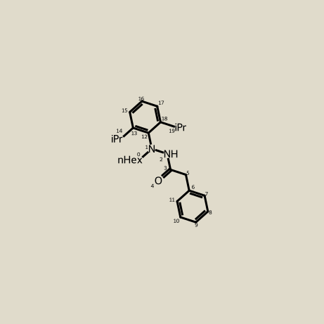 CCCCCCN(NC(=O)Cc1ccccc1)c1c(C(C)C)cccc1C(C)C